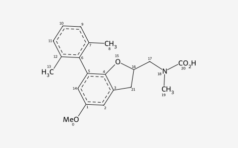 COc1cc2c(c(-c3c(C)cccc3C)c1)OC(CN(C)C(=O)O)C2